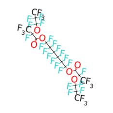 O=C(OC(F)(F)C(F)(F)C(F)(F)C(F)(F)C(F)(F)C(F)(F)OC(=O)C(F)(OC(F)(F)C(F)(F)C(F)(F)F)C(F)(F)F)C(F)(OC(F)(F)C(F)(F)C(F)(F)F)C(F)(F)F